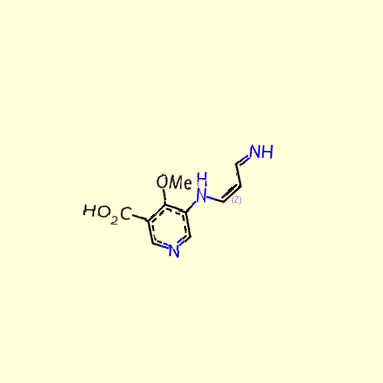 COc1c(N/C=C\C=N)cncc1C(=O)O